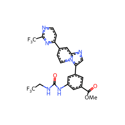 COC(=O)c1cc(NC(=O)NCC(F)(F)F)cc(-c2cnc3cc(-c4ccnc(C(F)(F)F)n4)ccn23)c1